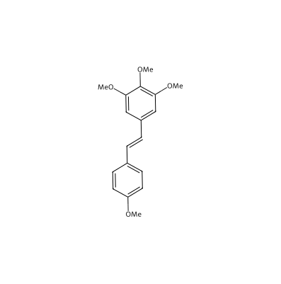 COc1ccc(/C=C/c2cc(OC)c(OC)c(OC)c2)cc1